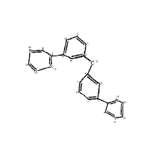 c1cc(Oc2cccc(-c3cnccn3)c2)cc(-c2cnccn2)c1